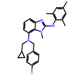 Cc1cc(C)c(Nc2nc3cccc(N(Cc4ccc(Cl)cc4)CC4CC4)c3n2C)c(C)c1